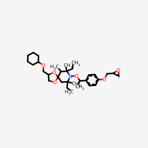 CCC1(C)CC2(OCC(COC3CCCCC3)O2)C(C)C(C)(CC)N1OC(C)c1ccc(OCC2CO2)cc1